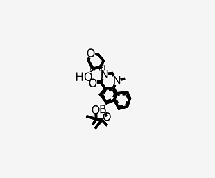 CN1CN([C@H]2CCOC[C@@H]2O)C(=O)c2cc(B3OC(C)(C)C(C)(C)O3)c3ccccc3c21